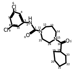 O=C(Nc1cc(Cl)cc(Cl)c1)N1CCCN(C(=O)C2CCCCC2)CC1